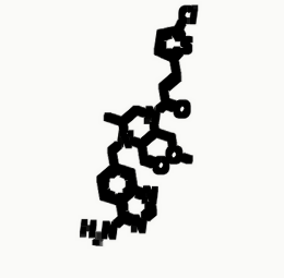 COCC1C(C=O)N(Cc2ccc3c(N)ncnc3c2)C(C)CN1C(=O)C=Cc1ccc(Cl)s1